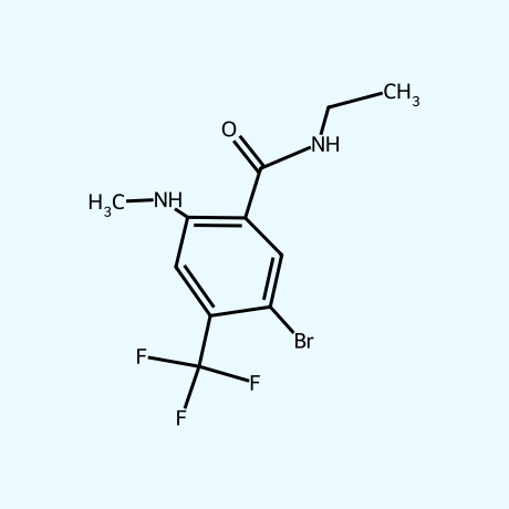 CCNC(=O)c1cc(Br)c(C(F)(F)F)cc1NC